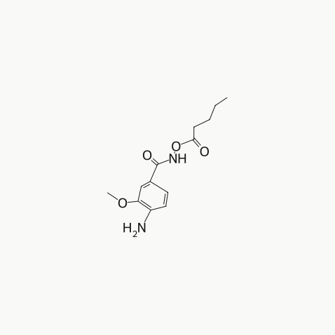 CCCCC(=O)ONC(=O)c1ccc(N)c(OC)c1